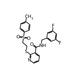 Cc1ccc(S(=O)(=O)CCSc2ncccc2C(=O)NCc2cc(F)cc(F)c2)cc1